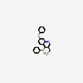 CCc1cnc2cc(Sc3ccccc3)ccc2c1Sc1ccccc1